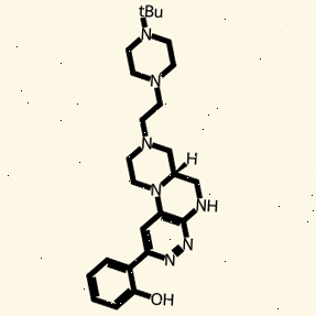 CC(C)(C)N1CCN(CCN2CCN3c4cc(-c5ccccc5O)nnc4NC[C@H]3C2)CC1